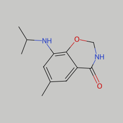 Cc1cc(NC(C)C)c2c(c1)C(=O)NCO2